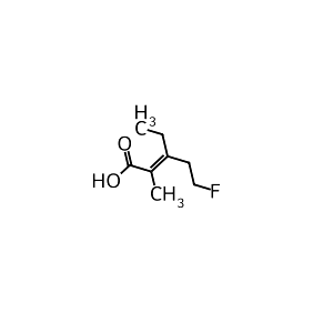 CCC(CCF)=C(C)C(=O)O